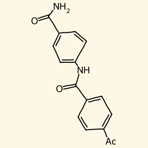 CC(=O)c1ccc(C(=O)Nc2ccc(C(N)=O)cc2)cc1